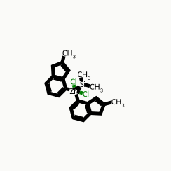 CC1=Cc2c(ccc[c]2[Zr]([Cl])([Cl])([c]2cccc3c2C=C(C)C3)=[Si](C)C)C1